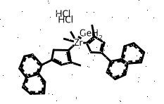 CC1=[C]([Zr]([CH3])([CH3])(=[GeH2])[C]2=C(C)C=C(c3cccc4ccccc34)C2)CC(c2cccc3ccccc23)=C1.Cl.Cl